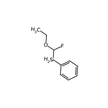 CCOC(F)[SiH2]c1ccccc1